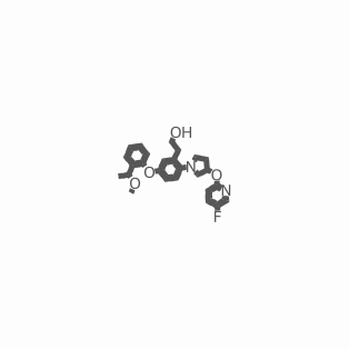 COC(C)c1ccccc1Oc1ccc(N2CCC(Oc3ccc(F)cn3)C2)c(CCO)c1